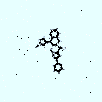 Cn1cc(C2CN(C(=O)c3cc(-c4ccccc4)nn3C)Cc3ccccc32)cn1